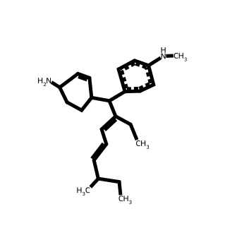 CC/C(=C\C=C\C(C)CC)C(c1ccc(NC)cc1)C1C=CC(N)CC1